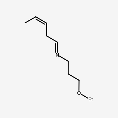 C/C=C\C/C=N/CCCOCC